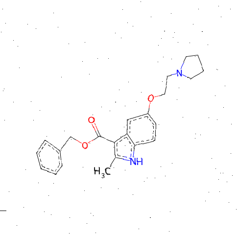 Cc1[nH]c2ccc(OCCN3CCCC3)cc2c1C(=O)OCc1ccccc1